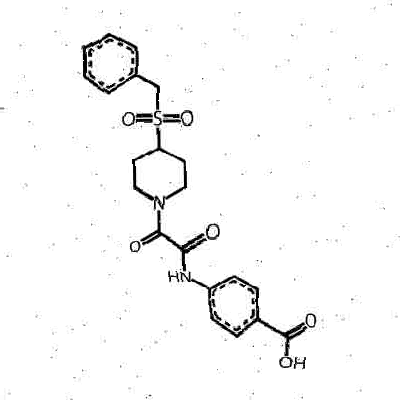 O=C(Nc1ccc(C(=O)O)cc1)C(=O)N1CCC(S(=O)(=O)Cc2ccccc2)CC1